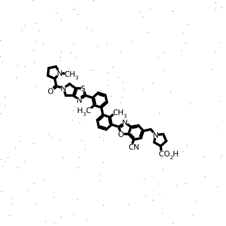 Cc1c(-c2nc3cc(CN4CCC(C(=O)O)C4)cc(C#N)c3o2)cccc1-c1cccc(-c2nc3c(s2)CN(C(=O)C2CCCN2C)C3)c1C